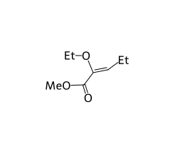 CCC=C(OCC)C(=O)OC